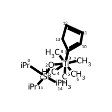 CC(C)[Si]([O][Ti]([CH3])([CH3])([CH3])([CH3])([CH3])[C]1=CC=CC1)(C(C)C)C(C)C